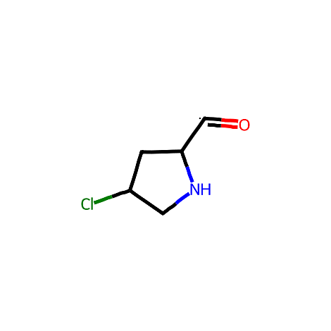 O=[C]C1CC(Cl)CN1